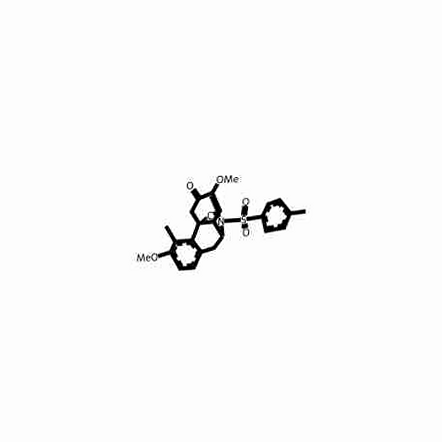 COC1=CC2C3Cc4ccc(OC)c(C)c4[C@]2(CCN3S(=O)(=O)c2ccc(C)cc2)CC1=O